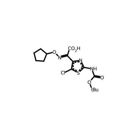 CC(C)(C)OC(=O)Nc1nc(C(=NOC2CCCC2)C(=O)O)c(Cl)s1